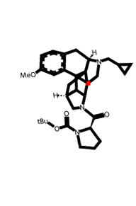 COc1ccc2c(c1)C13CCN(CC4CC4)[C@H](C2)C12CCC1C3[C@@H](CN1C(=O)[C@H]1CCCN1C(=O)OC(C)(C)C)C2